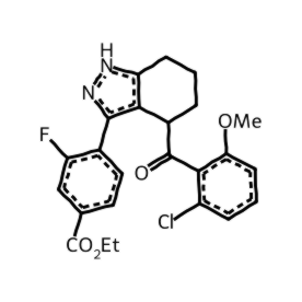 CCOC(=O)c1ccc(-c2n[nH]c3c2C(C(=O)c2c(Cl)cccc2OC)CCC3)c(F)c1